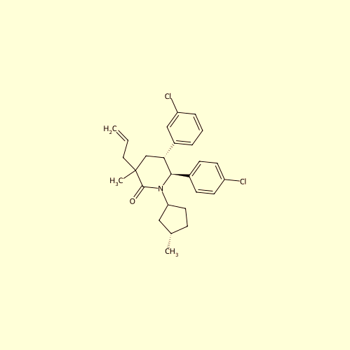 C=CCC1(C)C[C@H](c2cccc(Cl)c2)[C@@H](c2ccc(Cl)cc2)N(C2CC[C@H](C)C2)C1=O